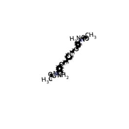 CC(=O)O/N=C(\N)c1ccc(OCCCN2CCC(CCCOc3ccc(/C(N)=N/OC(C)=O)c(F)c3)CC2)cc1